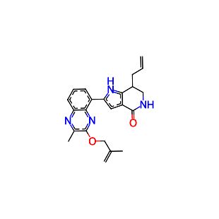 C=CCC1CNC(=O)c2cc(-c3cccc4nc(C)c(OCC(=C)C)nc34)[nH]c21